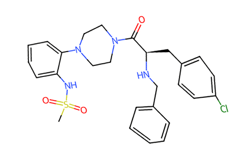 CS(=O)(=O)Nc1ccccc1N1CCN(C(=O)[C@@H](Cc2ccc(Cl)cc2)NCc2ccccc2)CC1